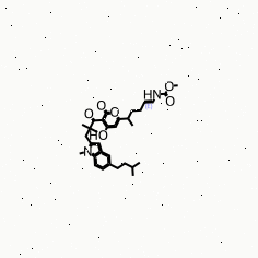 COC(=O)N/C=C/CCC(C)c1cc(O)c(C(=O)C(C)(C)Cc2cc3cc(CCC(C)C)ccc3n2C)c(=O)o1